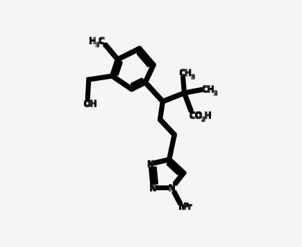 CCCn1cc(CCC(c2ccc(C)c(CO)c2)C(C)(C)C(=O)O)nn1